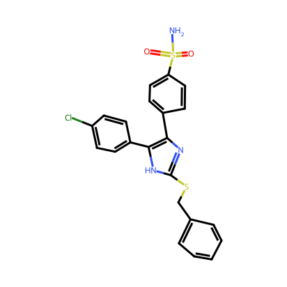 NS(=O)(=O)c1ccc(-c2nc(SCc3ccccc3)[nH]c2-c2ccc(Cl)cc2)cc1